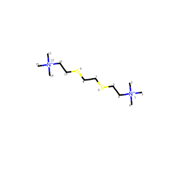 C[N+](C)(C)CCSCCSCC[N+](C)(C)C